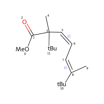 COC(=O)C(C)(/C=C\C=C(/C)C(C)(C)C)C(C)(C)C